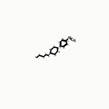 CCCCC[C@H]1CC[C@H](c2ccc(N=C=S)cc2)CC1